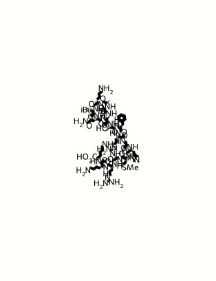 CC[C@H](C)[C@H](NC(=O)[C@H](CCCCN)NC(=O)[C@H](C)NC(=O)[C@H](C)N)C(=O)N[C@@H](CCC(N)=O)C(=O)N[C@@H](C)C(=O)N[C@@H](CO)C(=O)N[C@@H](Cc1ccccc1)C(=O)N[C@@H](CCCN=C(N)N)C(=O)NCC(=O)N[C@@H](Cc1cnc[nH]1)C(=O)N[C@@H](CCSC)C(=O)N[C@@H](C)C(=O)N[C@@H](CCCN=C(N)N)C(=O)N[C@@H](CCCCN)C(=O)N[C@@H](CCCCN)C(=O)O